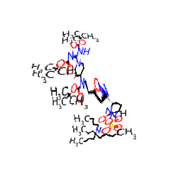 CCCCN(OS(=O)(=O)ON1C(=O)N2C[C@@H]1CC[C@H]2c1cc(CCN(C(=O)OC(C)(C)C)C2CCN(/C(=N\C(=O)OC(C)(C)C)NC(=O)OC(C)(C)C)CC2)on1)C(CCC)(CCCC)CCCC